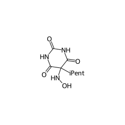 CCCC(C)C1(NO)C(=O)NC(=O)NC1=O